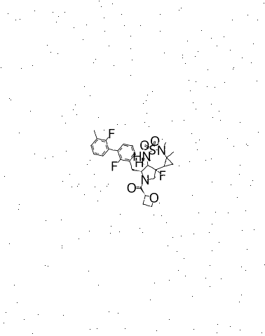 Cc1cccc(-c2cccc(C[C@H]3[C@H]4NS(=O)(=O)N(C)C5(C)CC5C4(F)CN3C(=O)[C@@H]3CCO3)c2F)c1F